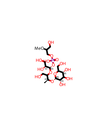 COC(CO)COP(=O)(O)O[C@H](OC(CO)[C@H](C)O[C@@H]1OC(CO)[C@H](O)C(O)[C@@H]1O)[C@@H](O)CO